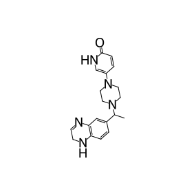 CC(c1ccc2c(c1)N=CCN2)N1CCN(c2ccc(=O)[nH]c2)CC1